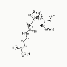 CCCCCN[C@@H](CC(C)C)C(=O)O.Cc1cnco1.N=C(N)NCCC[C@H](N)C(=O)O